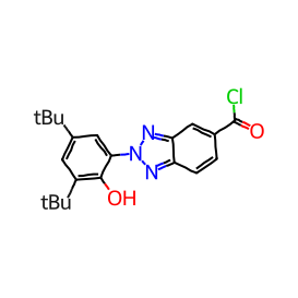 CC(C)(C)c1cc(-n2nc3ccc(C(=O)Cl)cc3n2)c(O)c(C(C)(C)C)c1